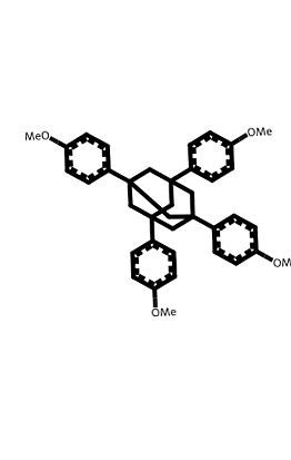 COc1ccc(C23CC4(c5ccc(OC)cc5)CC(c5ccc(OC)cc5)(C2)CC(c2ccc(OC)cc2)(C3)C4)cc1